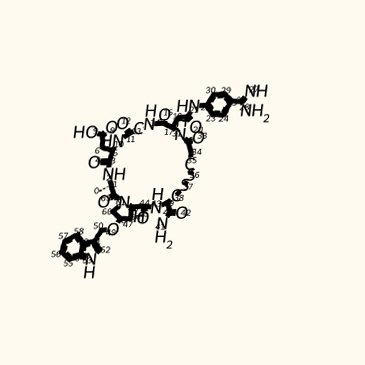 C[C@@H]1NC(=O)C(CC(=O)O)NC(=O)CNC(=O)C(CC(=O)Nc2ccc(C(=N)N)cc2)NC(=O)CCSSCC(C(N)=O)NC(=O)[C@@H]2CC(OCc3c[nH]c4ccccc34)CN2C1=O